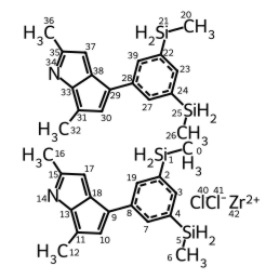 C[SiH2]c1cc([SiH2]C)cc(C2=CC(C)=C3N=C(C)C=C23)c1.C[SiH2]c1cc([SiH2]C)cc(C2=CC(C)=C3N=C(C)C=C23)c1.[Cl-].[Cl-].[Zr+2]